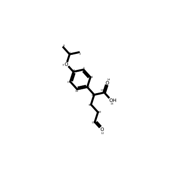 CC(C)Oc1ccc(C(CCC=O)C(=O)O)cc1